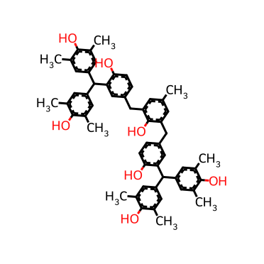 Cc1cc(Cc2ccc(O)c(C(c3cc(C)c(O)c(C)c3)c3cc(C)c(O)c(C)c3)c2)c(O)c(Cc2ccc(O)c(C(c3cc(C)c(O)c(C)c3)c3cc(C)c(O)c(C)c3)c2)c1